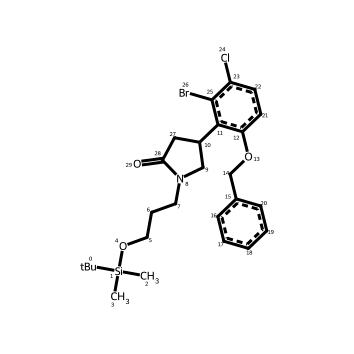 CC(C)(C)[Si](C)(C)OCCCN1CC(c2c(OCc3ccccc3)ccc(Cl)c2Br)CC1=O